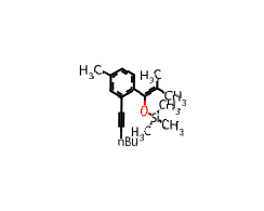 CCCCC#Cc1cc(C)ccc1C(O[Si](C)(C)C)=C(C)C